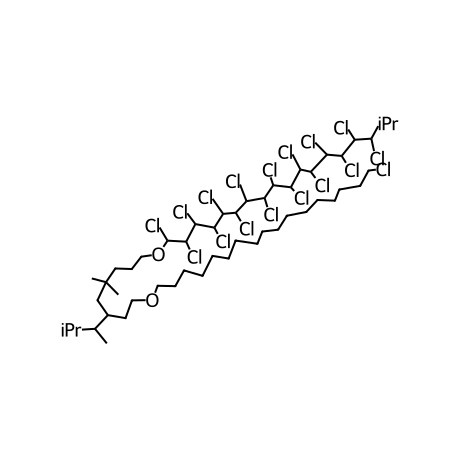 CC(C)C(C)C(CCOCCCCCCCCCCCCCCCCCCl)CC(C)(C)CCCOC(Cl)C(Cl)C(Cl)C(Cl)C(Cl)C(Cl)C(Cl)C(Cl)C(Cl)C(Cl)C(Cl)C(Cl)C(Cl)C(Cl)C(Cl)C(Cl)C(C)C